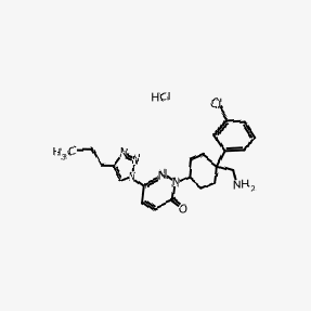 CCCc1cn(-c2ccc(=O)n(C3CCC(CN)(c4cccc(Cl)c4)CC3)n2)nn1.Cl